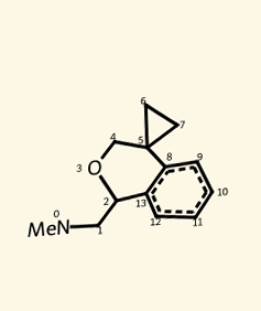 CNCC1OCC2(CC2)c2ccccc21